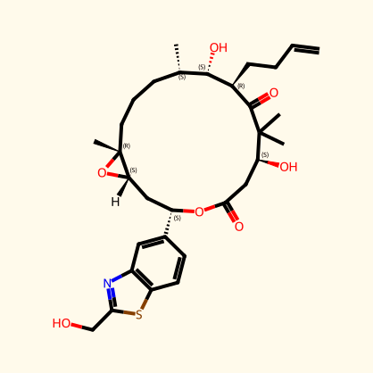 C=CCC[C@H]1C(=O)C(C)(C)[C@@H](O)CC(=O)O[C@H](c2ccc3sc(CO)nc3c2)C[C@@H]2O[C@]2(C)CCC[C@H](C)[C@@H]1O